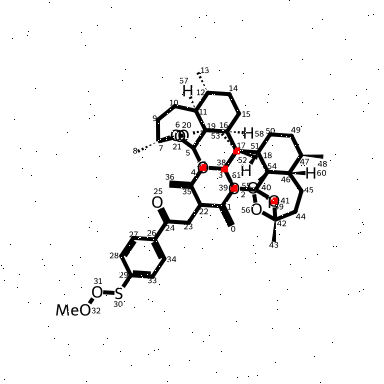 C=C(C[C@H]1OC2O[C@]3(C)CC[C@H]4[C@H](C)CC[C@@H]([C@H]1C)[C@@]24OO3)C(CC(=O)c1ccc(SOOC)cc1)C(=C)C[C@H]1O[C@@H]2O[C@]3(C)CC[C@H]4[C@H](C)CC[C@@H]([C@H]1C)[C@@]24OO3